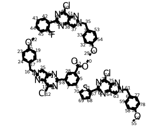 COC(=O)c1cccc(-c2nc(Cl)c3nn(Cc4ccc(OC)cc4)cc3n2)c1.COc1ccc(Cn2cc3nc(-c4ccccc4F)nc(Cl)c3n2)cc1.COc1ccc(Cn2cc3nc(-c4cccs4)nc(Cl)c3n2)cc1